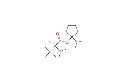 CC(C)C1(OC(=O)C(C)(C(C)C)C(C)(C)C)CCCC1